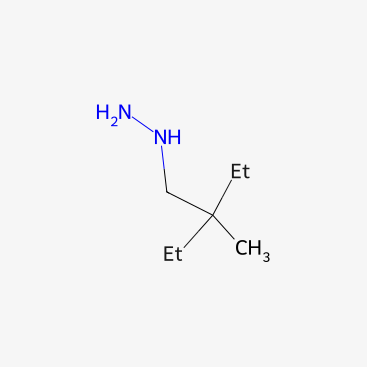 CCC(C)(CC)CNN